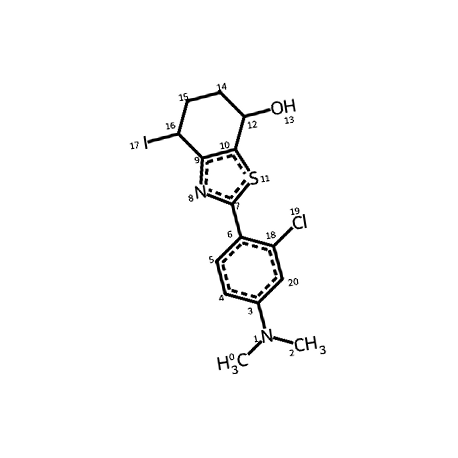 CN(C)c1ccc(-c2nc3c(s2)C(O)CCC3I)c(Cl)c1